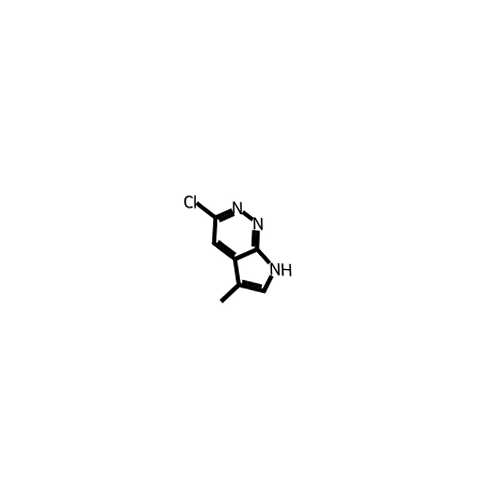 Cc1c[nH]c2nnc(Cl)cc12